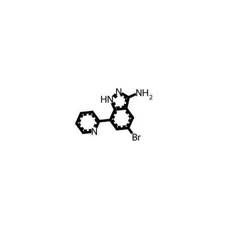 Nc1n[nH]c2c(-c3ccccn3)cc(Br)cc12